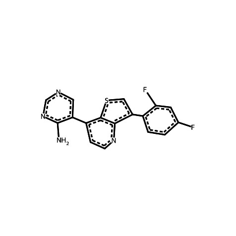 Nc1ncncc1-c1ccnc2c(-c3ccc(F)cc3F)csc12